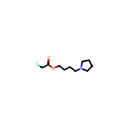 O=C(CF)OCCCCN1CCCC1